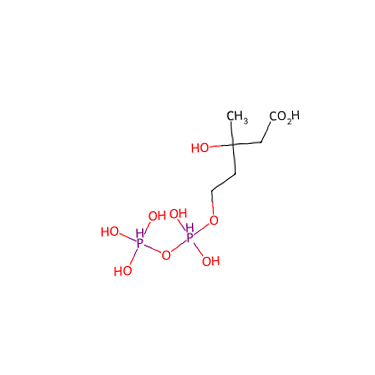 CC(O)(CCO[PH](O)(O)O[PH](O)(O)O)CC(=O)O